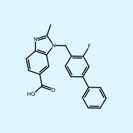 Cc1nc2ccc(C(=O)O)cc2n1Cc1ccc(-c2ccccc2)cc1F